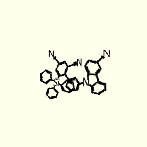 N#Cc1cc(C#N)c(-c2cccc(-n3c4ccccc4c4cc(C#N)ccc43)c2)c([Si](c2ccccc2)(c2ccccc2)c2ccccc2)c1